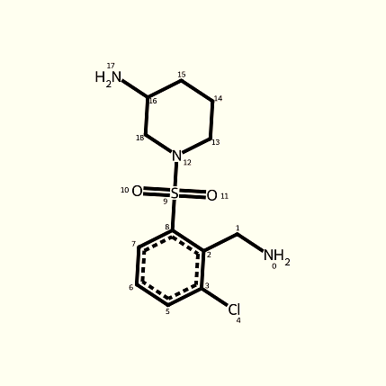 NCc1c(Cl)cccc1S(=O)(=O)N1CCCC(N)C1